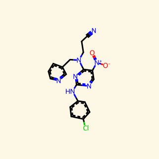 N#CCCN(Cc1cccnc1)c1nc(Nc2ccc(Cl)cc2)ncc1[N+](=O)[O-]